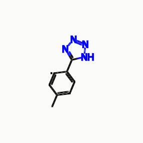 Cc1c[c]c(-c2nnn[nH]2)cc1